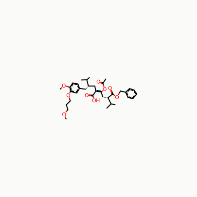 COCCCOc1cc(C[C@@H](C/C(C(=O)O)=C(/C[C@H](C(=O)OCc2ccccc2)C(C)C)OC(C)=O)C(C)C)ccc1OC